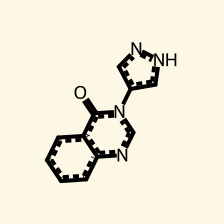 O=c1c2ccccc2ncn1-c1cn[nH]c1